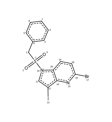 O=S(=O)(Cc1ccccc1)n1cc(I)c2nc(Br)ccc21